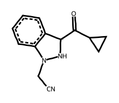 N#CCN1N[C](C(=O)C2CC2)c2ccccc21